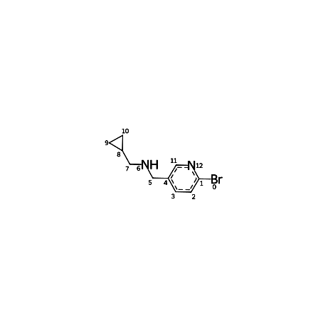 Brc1ccc(CNCC2CC2)cn1